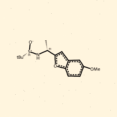 COc1ccc2oc([C@@H](C)N[S@@+]([O-])C(C)(C)C)cc2c1